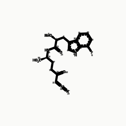 CO[C@@H](Cc1c[nH]c2c(F)cccc12)C(=O)N[C@@H](CCC(=O)C=[N+]=[N-])C(=O)O